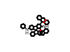 c1ccc(Nc2ccc3c(c2)C2(c4ccccc4-c4ccccc42)c2c-3cc(-c3cccc4ccccc34)c(Nc3ccccc3)c2-c2cccc3ccccc23)cc1